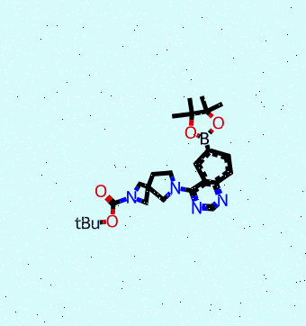 CC(C)(C)OC(=O)N1CC2(CCN(c3ncnc4ccc(B5OC(C)(C)C(C)(C)O5)cc34)C2)C1